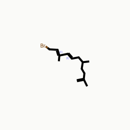 C=C(C)CCC(C)C/C=C/C(C)=C/CBr